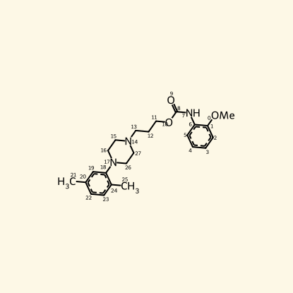 COc1ccccc1NC(=O)OCCCN1CCN(c2cc(C)ccc2C)CC1